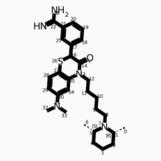 C[C@@H]1CCC[C@H](C)N1CCCCCN1C(=O)C(c2cccc(C(=N)N)c2)Sc2ccc(N(C)C)cc21